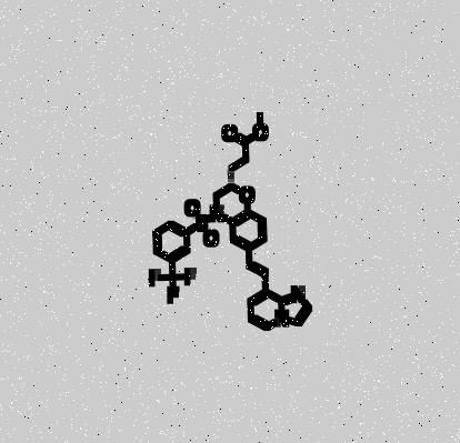 COC(=O)CC[C@H]1CN(S(=O)(=O)c2cccc(C(F)(F)F)c2)c2cc(/C=C/c3cccn4ccnc34)ccc2O1